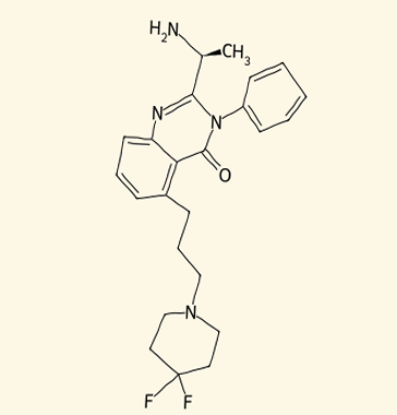 C[C@H](N)c1nc2cccc(CCCN3CCC(F)(F)CC3)c2c(=O)n1-c1ccccc1